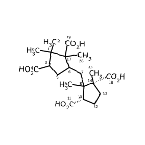 CC1(C)C(C(=O)O)CC(CC2(C)[C@@H](C(=O)O)CC[C@@]2(C)C(=O)O)C1(C)C(=O)O